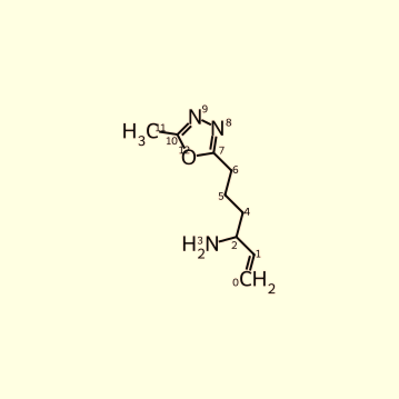 C=CC(N)CCCc1nnc(C)o1